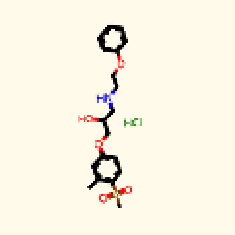 Cc1cc(OCC(O)CNCCOc2ccccc2)ccc1S(C)(=O)=O.Cl